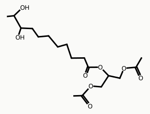 CC(=O)OCC(COC(C)=O)OC(=O)CCCCCCCC(O)C(C)O